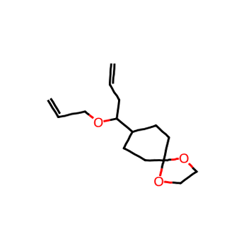 C=CCOC(CC=C)C1CCC2(CC1)OCCO2